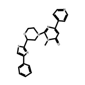 Cn1c(N2CCOC(c3nc(-c4ccccc4)cs3)C2)nc(-c2ccncc2)cc1=O